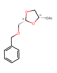 CC(=O)O[C@H]1CO[C@@H](COCc2ccccc2)O1